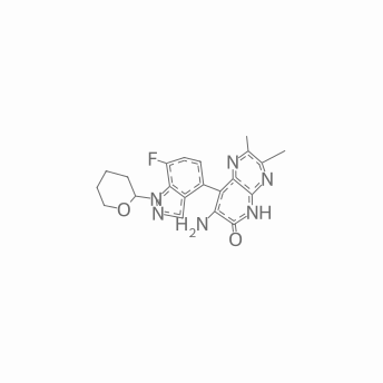 Cc1nc2[nH]c(=O)c(N)c(-c3ccc(F)c4c3cnn4C3CCCCO3)c2nc1C